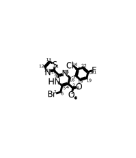 COC(=O)C1=C(CBr)NC(c2nccs2)=N[C@@H]1c1ccc(F)cc1Cl